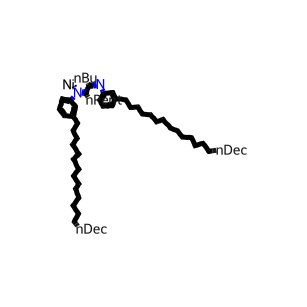 CCCCCCCCCCCCCCCCCCCCCCCCc1cccc(N=C(CCCC)C(CCCCC)=[N+]([Ni])c2cccc(CCCCCCCCCCCCCCCCCCCCCCCC)c2)c1